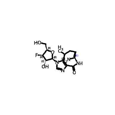 CC1C/C=C(\N)NC(=O)c2ncn([C@@H]3O[C@H](CO)[C@H](F)[C@H]3O)c21